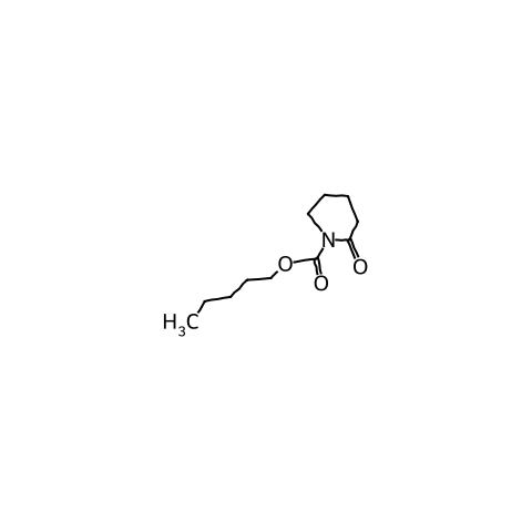 CCCCCOC(=O)N1CCCCC1=O